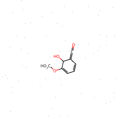 O=C=C1C=CC=C(OC(=O)O)C1O